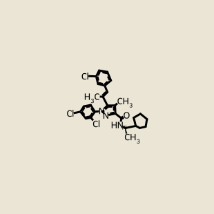 CC(=Cc1cccc(Cl)c1)c1c(C)c(C(=O)N[C@H](C)C2CCCCC2)nn1-c1ccc(Cl)cc1Cl